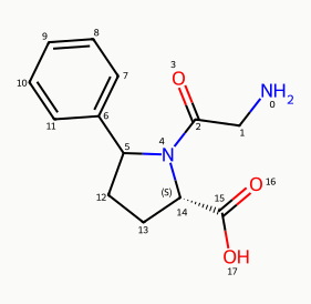 NCC(=O)N1C(c2ccccc2)CC[C@H]1C(=O)O